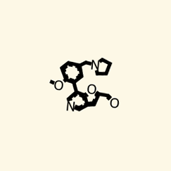 COc1ccc(CN2CCCC2)cc1-c1cncc2cc(C=O)oc12